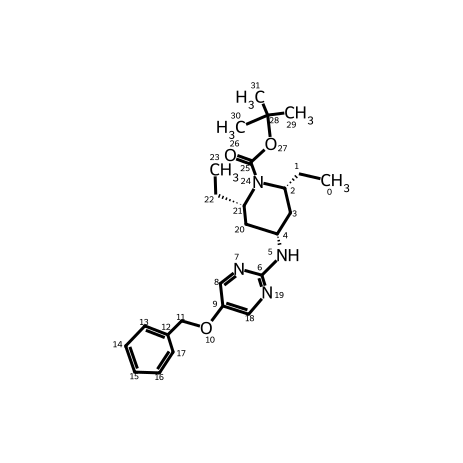 CC[C@@H]1C[C@H](Nc2ncc(OCc3ccccc3)cn2)C[C@H](CC)N1C(=O)OC(C)(C)C